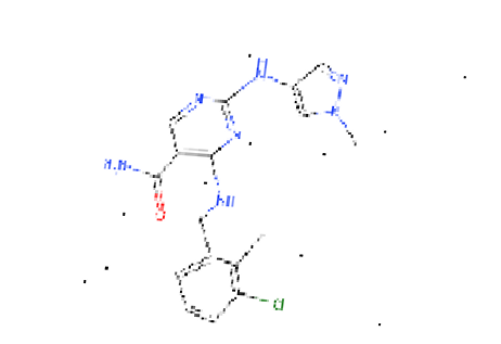 Cc1c(Cl)cccc1CNc1nc(Nc2cnn(C)c2)ncc1C(N)=O